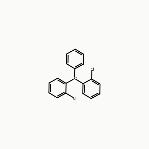 Clc1ccccc1[S+](c1ccccc1)c1ccccc1Cl